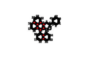 c1ccc(C(CC(OP(c2ccccc2)c2ccccc2)c2ccccc2)OP(c2ccccc2)c2ccccc2)cc1